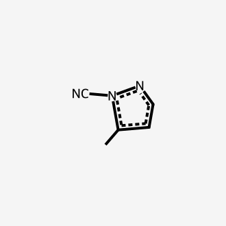 Cc1ccnn1C#N